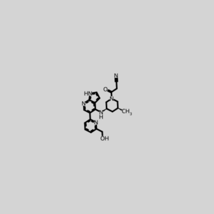 C[C@H]1C[C@@H](Nc2c(-c3cccc(CO)n3)cnc3[nH]ccc23)CN(C(=O)CC#N)C1